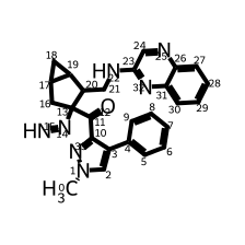 Cn1cc(-c2ccccc2)c(C(=O)C2(N=N)CC3CC3C2CNc2cnc3ccccc3n2)n1